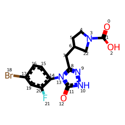 O=C(O)N1CCC(Cc2n[nH]c(=O)n2-c2ccc(Br)cc2F)C1